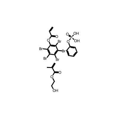 C=C(C)C(=O)OCCO.C=CC(=O)Oc1c(Br)c(Br)c(Br)c(Br)c1Br.O=P(O)(O)Oc1ccccc1